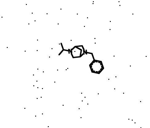 CC(C)N1CC2CC1CN2Cc1ccccc1